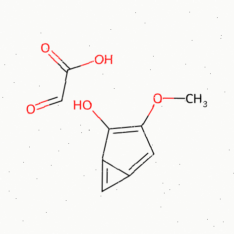 COc1cc2cc-2c1O.O=CC(=O)O